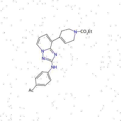 CCOC(=O)N1CC=C(c2cccn3nc(Nc4ccc(C(C)=O)cc4)nc23)CC1